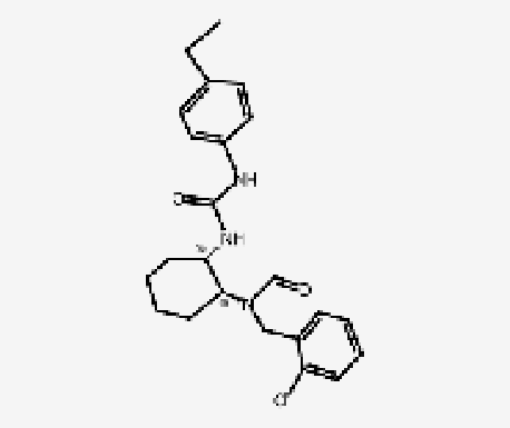 CCc1ccc(NC(=O)N[C@H]2CCCC[C@@H]2N(C=O)Cc2ccccc2Cl)cc1